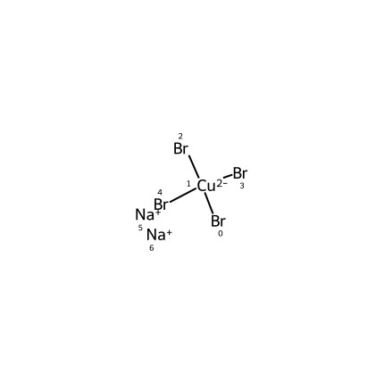 [Br][Cu-2]([Br])([Br])[Br].[Na+].[Na+]